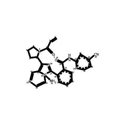 C=CC(=O)N1CCCC1C1=C2C=NC=C[N+]2(N)C(c2ccccc2C(=O)Nc2cc(C#N)ccn2)=N1